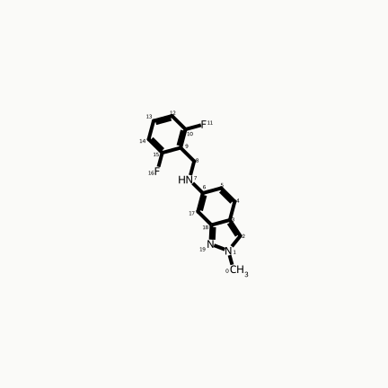 Cn1cc2ccc(NCc3c(F)cccc3F)cc2n1